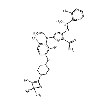 C=CN(c1cc(O[C@H](C)c2ccccc2Cl)c(C(N)=O)s1)c1c(C)ccc(OC2CCN(C3=C(O)C(C)(C)O3)CC2)c1Br